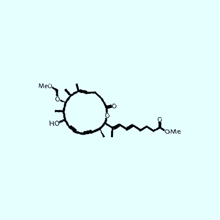 COCO[C@H]1C(C)/C(C)=C/CCC(=O)OC(/C(C)=C/C=C/CCCC(=O)OC)[C@@H](C)/C=C\C=C/C(O)C1C